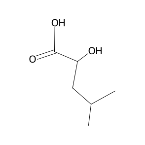 CC(C)CC(O)C(=O)O